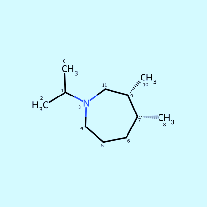 CC(C)N1CCC[C@@H](C)[C@@H](C)C1